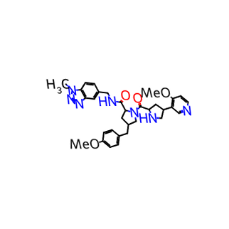 COc1ccc(CC2CC(C(=O)NCc3ccc4c(c3)nnn4C)N(C(=O)C3CC(c4cnccc4OC)CN3)C2)cc1